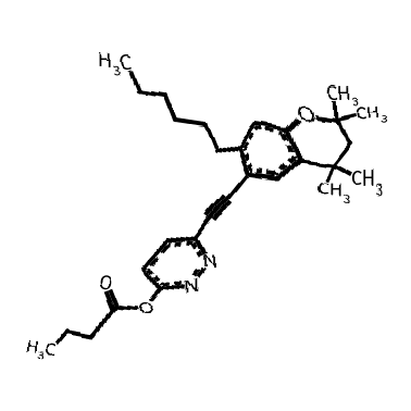 CCCCCCc1cc2c(cc1C#Cc1ccc(OC(=O)CCC)nn1)C(C)(C)CC(C)(C)O2